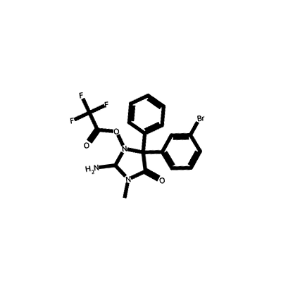 CN1C(=O)C(c2ccccc2)(c2cccc(Br)c2)N(OC(=O)C(F)(F)F)C1N